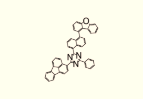 c1ccc(-c2nc(-c3cccc4c(-c5cccc6oc7ccccc7c56)cccc34)nc(-c3ccc4c5c(cccc35)-c3ccccc3-4)n2)cc1